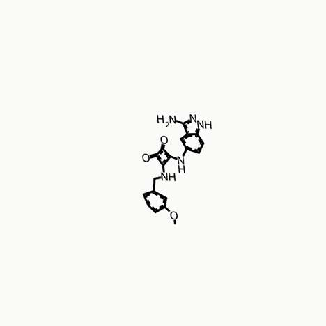 COc1cccc(CNc2c(Nc3ccc4[nH]nc(N)c4c3)c(=O)c2=O)c1